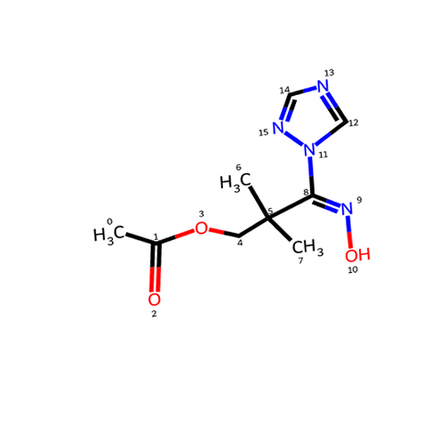 CC(=O)OCC(C)(C)C(=NO)n1cncn1